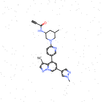 C#CC(=O)NC1CC(C)CN(c2ccc(-c3cc(-c4cnn(C)c4)cn4ncc(C#N)c34)cn2)C1